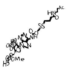 COP(=O)(S)OC[C@H]1O[C@@H](n2cnc3c(NC(=O)OCCSSCCCC(=O)NCCC(C)=O)ncnc32)[C@H](O)[C@@H]1O[PH](=O)S